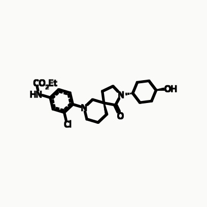 CCOC(=O)Nc1ccc(N2CCC[C@]3(CCN([C@H]4CC[C@H](O)CC4)C3=O)C2)c(Cl)c1